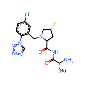 CC(C)(C)[C@@H](N)C(=O)NC(=O)C1C[C@@H](F)CN1Cc1cc(Cl)ccc1-n1cnnn1